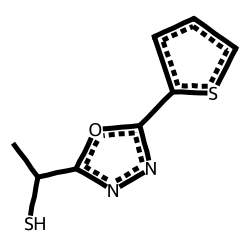 CC(S)c1nnc(-c2cccs2)o1